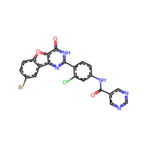 O=C(Nc1ccc(-c2nc3c(oc4ccc(Br)cc43)c(=O)[nH]2)c(Cl)c1)c1cncnc1